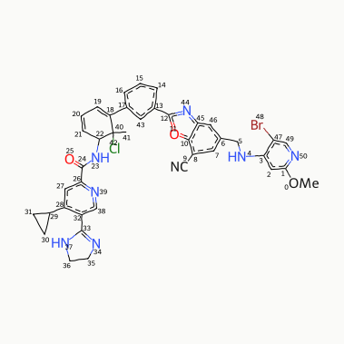 COc1cc(NCc2cc(C#N)c3oc(-c4cccc(C5=CC=CC(NC(=O)c6cc(C7CC7)c(C7=NCCN7)cn6)C5(C)Cl)c4)nc3c2)c(Br)cn1